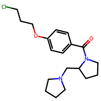 O=C(c1ccc(OCCCCl)cc1)N1CCCC1CN1CCCC1